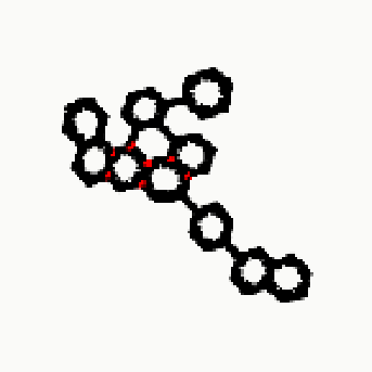 c1ccc(-c2ccccc2-c2c(-c3ccccc3)cccc2N(c2ccc(-c3ccc(-c4ccc5ccccc5c4)cc3)cc2)c2cccc3ccccc23)cc1